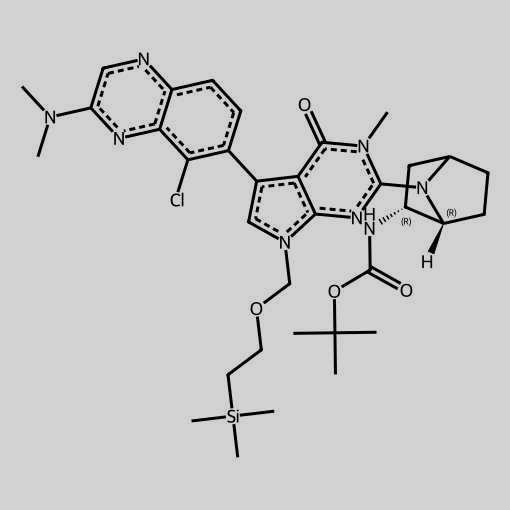 CN(C)c1cnc2ccc(-c3cn(COCC[Si](C)(C)C)c4nc(N5C6CC[C@@H]5[C@H](NC(=O)OC(C)(C)C)C6)n(C)c(=O)c34)c(Cl)c2n1